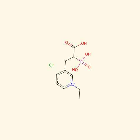 CC[n+]1cccc(CC(C(=O)O)P(=O)(O)O)c1.[Cl-]